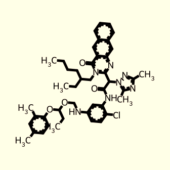 CCCCC(CC)Cn1c(C(C(=O)Nc2cc(NCOC(CC)Oc3ccc(C)cc3C)ccc2Cl)n2nc(C)nc2C)nc2cc3ccccc3cc2c1=O